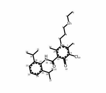 CCOCCCn1c(C)c(Cl)c(=O)c(C(=O)Nc2c(C(C)C)cccc2C(C)C)c1C